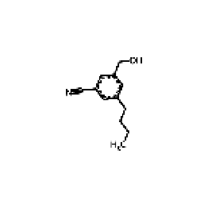 CCCCc1cc(C#N)cc(CO)c1